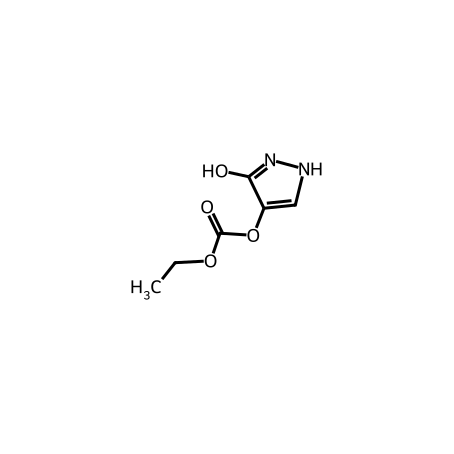 CCOC(=O)Oc1c[nH]nc1O